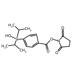 CC(C)[Si](O)(c1ccc(C(=O)ON2C(=O)CCC2=O)cc1)C(C)C